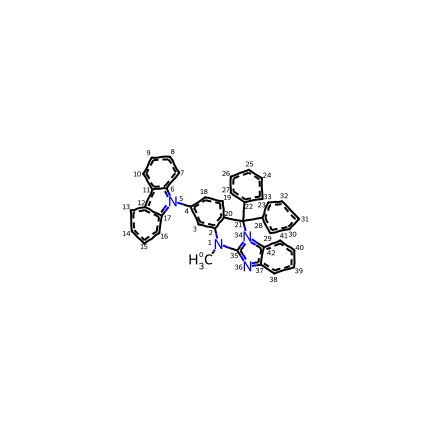 CN1c2cc(-n3c4ccccc4c4ccccc43)ccc2C(c2ccccc2)(c2ccccc2)n2c1nc1ccccc12